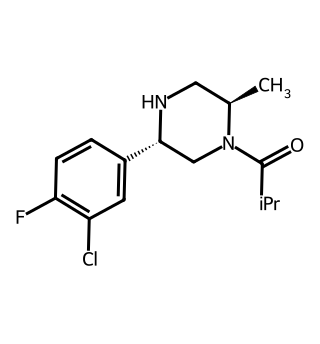 CC(C)C(=O)N1C[C@H](c2ccc(F)c(Cl)c2)NC[C@H]1C